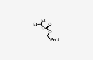 CCCC(C)COC(=O)OC(CC)CC